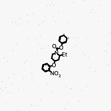 CCC1CC(Oc2ccccc2[N+](=O)[O-])CCN1C(=O)OC1=C[C][C]C=C1